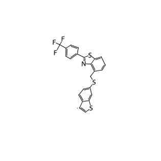 FC(F)(F)c1ccc(-c2nc3c(CSc4ccc5[c]csc5c4)cccc3s2)cc1